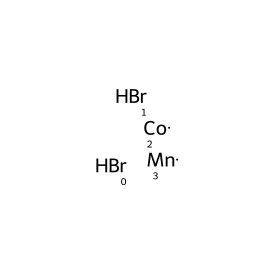 Br.Br.[Co].[Mn]